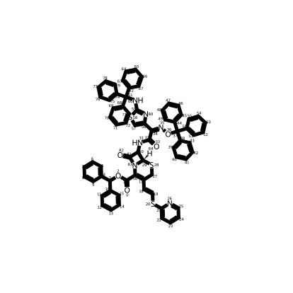 O=C(OC(c1ccccc1)c1ccccc1)C1=C(/C=C/Sc2ccccn2)CS[C@@H]2C(NC(=O)/C(=N\OC(c3ccccc3)(c3ccccc3)c3ccccc3)c3csc(NC(c4ccccc4)(c4ccccc4)c4ccccc4)n3)C(=O)N12